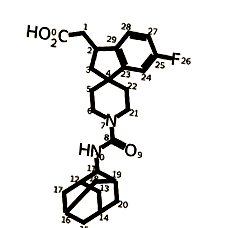 O=C(O)CC1CC2(CCN(C(=O)NC3C4CC5CC(C4)CC3C5)CC2)c2cc(F)ccc21